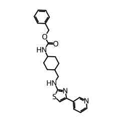 O=C(NC1CCC(CNc2nc(-c3cccnc3)cs2)CC1)OCc1ccccc1